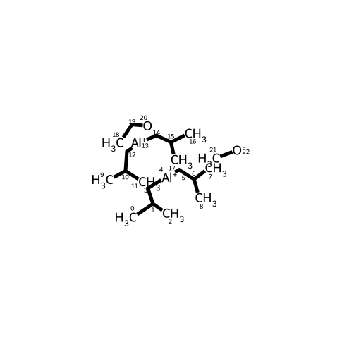 CC(C)[CH2][Al+][CH2]C(C)C.CC(C)[CH2][Al+][CH2]C(C)C.CC[O-].C[O-]